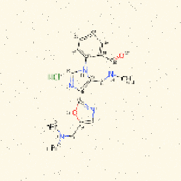 CCCN(CCC)Cc1cnc(-c2ncn3c2CN(C)C(=O)c2ccccc2-3)o1.Cl